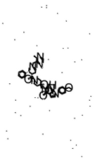 COc1ccc(-n2ccc3c(=O)n(CC4(O)CCN(C(=O)[C@@H]5CCN(Cc6nccnc6C)C[C@H]5c5ccccc5)CC4)cnc32)cc1